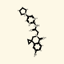 O=C(CN1CC2(CC2)c2cc(Br)ccc2C1=O)Nc1ncc(N2CCCC2)cn1